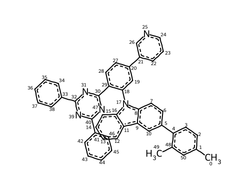 Cc1ccc(-c2ccc3c(c2)c2ccccc2n3-c2cc(-c3cccnc3)ccc2-c2nc(-c3ccccc3)nc(-c3ccccc3)n2)c(C)c1